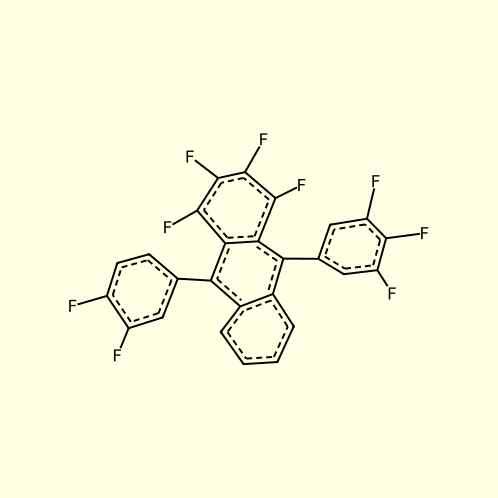 Fc1ccc(-c2c3ccccc3c(-c3cc(F)c(F)c(F)c3)c3c(F)c(F)c(F)c(F)c23)cc1F